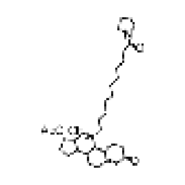 CC(=O)O[C@H]1CCC2C3CCC4=CC(=O)CCC4=C3[C@@H](CCCCCCCCCCC(=O)N3CCCC3)C[C@@]21C